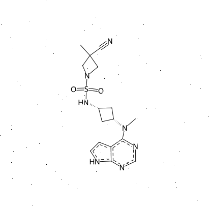 CN(c1ncnc2[nH]ccc12)[C@H]1C[C@@H](NS(=O)(=O)N2CC(C)(C#N)C2)C1